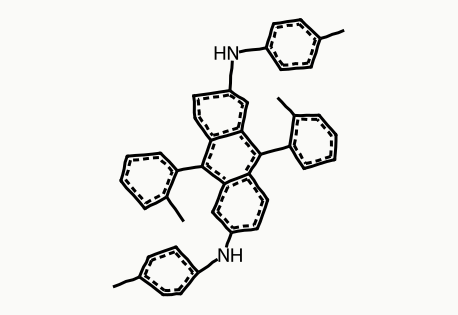 Cc1ccc(Nc2ccc3c(-c4ccccc4C)c4cc(Nc5ccc(C)cc5)ccc4c(-c4ccccc4C)c3c2)cc1